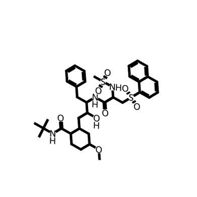 COC1CCC(C(=O)NC(C)(C)C)C(CC(O)C(Cc2ccccc2)NC(=O)C(CS(=O)(=O)c2cccc3ccccc23)NS(C)(=O)=O)C1